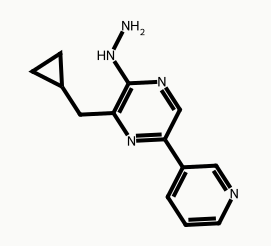 NNc1ncc(-c2cccnc2)nc1CC1CC1